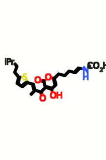 CC(=Cc1ccc(CCC(C)C)s1)C(=O)c1c(O)cc(CCC/C=C/NC(=O)O)oc1=O